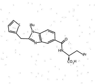 CCC(C)n1c(Cc2cccs2)nc2cc(C(=O)N[C@@H](CC(C)C)C(=O)O)ccc21